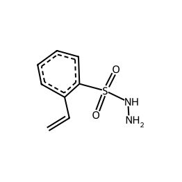 C=Cc1ccccc1S(=O)(=O)NN